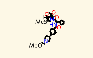 COCCN1CCC(c2ccc(C(=O)N[C@H](C(=O)N3C[C@H](SC)[C@H]4OCC(=O)[C@H]43)C3CCCC3)cc2)CC1